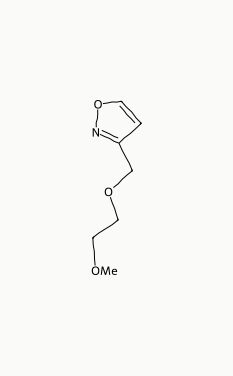 COCCOCc1ccon1